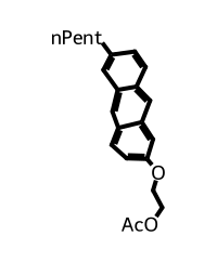 CCCCCc1ccc2cc3cc(OCCOC(C)=O)ccc3cc2c1